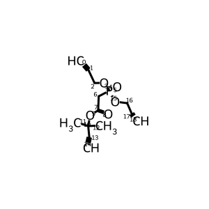 C#CCOP(=O)(CC(=O)OC(C)(C)C#C)OCC#C